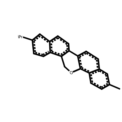 Cc1ccc2c3c(ccc2c1)-c1ccc2cc(C(C)C)ccc2c1CO3